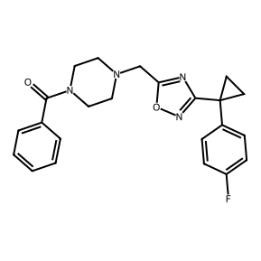 O=C(c1ccccc1)N1CCN(Cc2nc(C3(c4ccc(F)cc4)CC3)no2)CC1